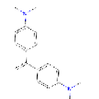 C=C(c1ccc(N(C)C)cc1)c1ccc(N(C)C)cc1